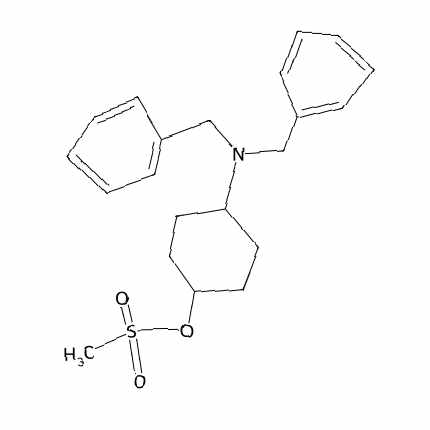 CS(=O)(=O)OC1CCC(N(Cc2ccccc2)Cc2ccccc2)CC1